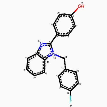 Oc1ccc(-c2nc3ccccc3n2Cc2ccc(F)cc2)cc1